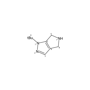 CC(C)(C)n1ncc2c1CNC2